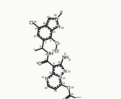 CCOc1c(C(C)NC(=O)c2c(N)nn3c(OC(=O)C(F)(F)F)ccnc23)cc(Cl)c2cn(C)nc12